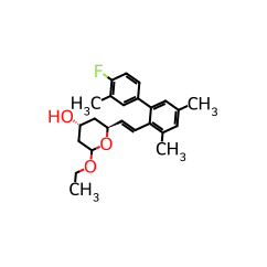 CCOC1C[C@H](O)C[C@@H](C=Cc2c(C)cc(C)cc2-c2ccc(F)c(C)c2)O1